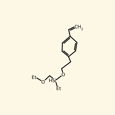 C=Cc1ccc(CCO[SiH](CC)COCC)cc1